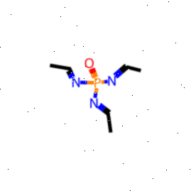 CC=NP(=O)(N=CC)N=CC